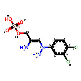 N/C(=C\N(N)c1ccc(Cl)c(Cl)c1)COS(=O)(=O)O